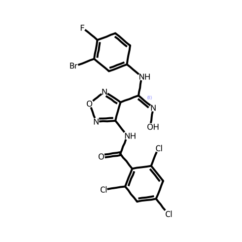 O=C(Nc1nonc1/C(=N\O)Nc1ccc(F)c(Br)c1)c1c(Cl)cc(Cl)cc1Cl